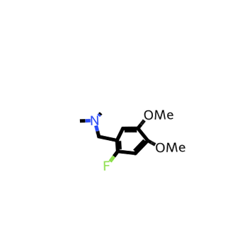 COc1cc(F)c(CN(C)C)cc1OC